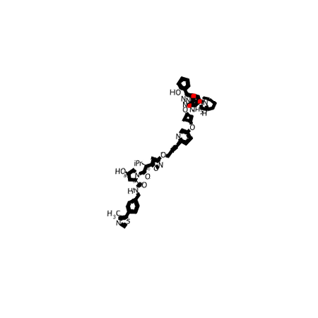 Cc1ncsc1-c1ccc(CNC(=O)[C@@H]2C[C@@H](O)CN2C(=O)[C@@H](c2cc(OCC#Cc3ccc(OC4CC(Oc5cc(N6C7CC[C@@H]6CN(c6cc(-c8ccccc8O)nnc6N)C7)ccn5)C4)cn3)no2)C(C)C)cc1